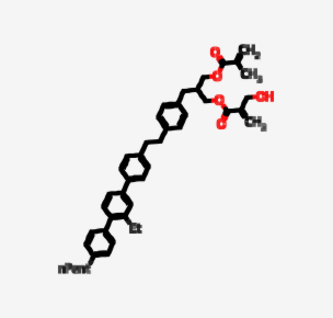 C=C(C)C(=O)OCC(COC(=O)C(=C)CO)Cc1ccc(CCc2ccc(-c3ccc(-c4ccc(CCCCC)cc4)c(CC)c3)cc2)cc1